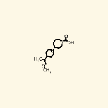 CON=C(C)C1CCN([C@H]2CCCN(C(=O)O)CC2)CC1